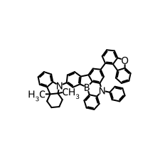 CC12CCCCC1(C)N(c1ccc3c(c1)B1c4ccccc4N(c4ccccc4)c4cc(-c5cccc6oc7ccccc7c56)cc-3c41)c1ccccc12